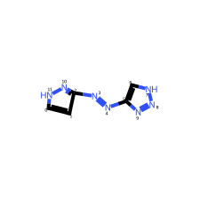 c1cc(N=Nc2c[nH]nn2)n[nH]1